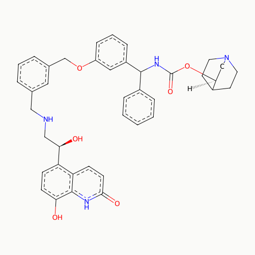 O=C(NC(c1ccccc1)c1cccc(OCc2cccc(CNC[C@@H](O)c3ccc(O)c4[nH]c(=O)ccc34)c2)c1)O[C@H]1CN2CCC1CC2